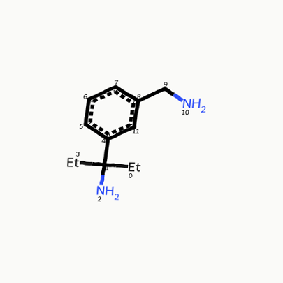 CCC(N)(CC)c1cccc(CN)c1